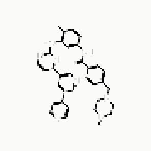 Cc1ccc(NC(=O)c2ccc(CN3CCN(C)CC3)cc2)cc1Nc1nccc(-c2cncc(-c3ccncc3)c2)n1